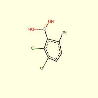 CC(C)c1ccc(Cl)c(Cl)c1B(O)O